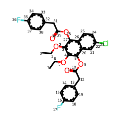 CCOc1c(OCC)c(OC(=O)Cc2ccc(F)cc2)c2cc(Cl)ccc2c1OC(=O)Cc1ccc(F)cc1